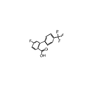 O=C(O)c1ccc(F)cc1-c1ccc(C(F)(F)F)cc1